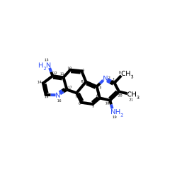 Cc1nc2c(ccc3c2ccc2c(N)ccnc23)c(N)c1C